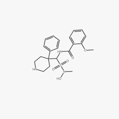 COc1ccccc1C(=O)NC(C1(c2ccccc2)CCNCC1)S(=O)(=O)N(C)O